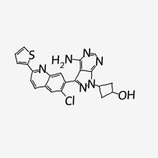 Nc1ncnc2c1c(-c1cc3nc(-c4cccs4)ccc3cc1Cl)nn2C1CC(O)C1